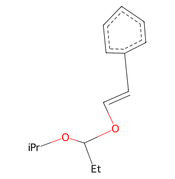 CCC(OC=Cc1ccccc1)OC(C)C